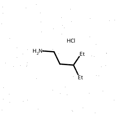 CCC(CC)CCN.Cl